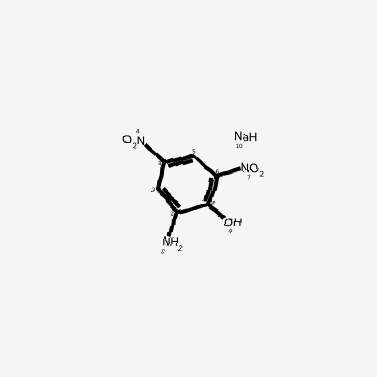 Nc1cc([N+](=O)[O-])cc([N+](=O)[O-])c1O.[NaH]